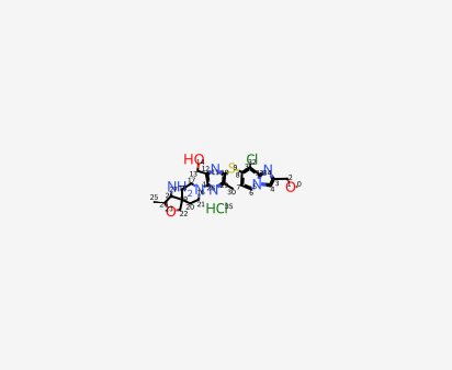 COCc1cn2ccc(Sc3nc(CO)c(N4CCC5(CC4)CO[C@@H](C)[C@H]5N)nc3C)c(Cl)c2n1.Cl